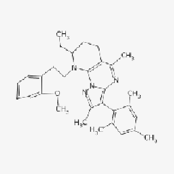 CCC1CCc2c(C)nc3c(-c4c(C)cc(C)cc4C)c(C)nn3c2N1CCc1ccccc1OC